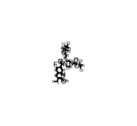 CCc1cc2cc(F)c(C(=O)N3CCN(C(=O)OC(C)(C)C)C[C@H]3CCO[Si](C)(C)C(C)(C)C)cc2nc1OC